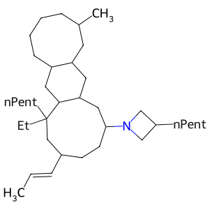 CC=CC1CCC(N2CC(CCCCC)C2)CC2CC3CC(C)CCCCC3CC2C(CC)(CCCCC)C1